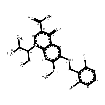 COc1nc2c(cc1NCc1c(F)cccc1F)c(=O)c(C(=O)O)cn2C(CO)C(C)C